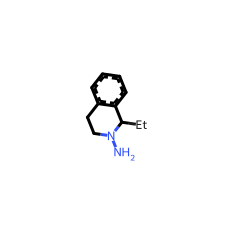 CCC1c2ccccc2CCN1N